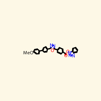 COc1ccc(-c2ccc(-c3nnc(-c4ccc(C(=O)On5nnc6ccccc65)cc4)o3)cc2)cc1